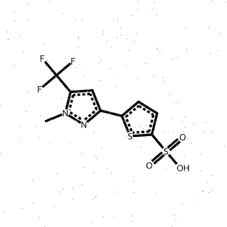 Cn1nc(-c2ccc(S(=O)(=O)O)s2)cc1C(F)(F)F